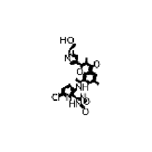 Cc1cc(C(C)Nc2ccc(Cl)nc2-c2noc(=O)[nH]2)c2oc(-c3cnn(CCO)c3)c(C)c(=O)c2c1